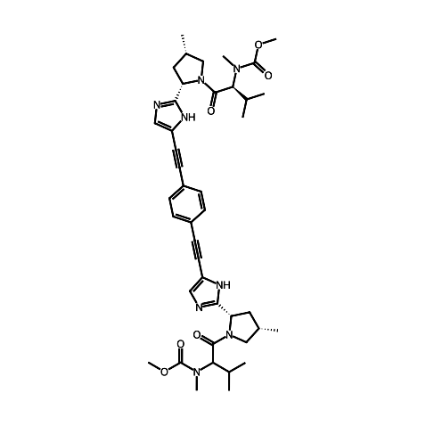 COC(=O)N(C)C(C(=O)N1C[C@@H](C)C[C@H]1c1ncc(C#Cc2ccc(C#Cc3cnc([C@@H]4C[C@H](C)CN4C(=O)[C@H](C(C)C)N(C)C(=O)OC)[nH]3)cc2)[nH]1)C(C)C